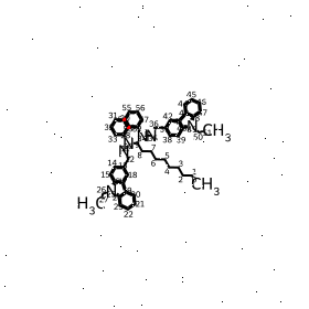 CCCCCCCCCC(N(/N=C/c1ccc2c(c1)c1ccccc1n2CC)c1ccccc1)N(/N=C/c1ccc2c(c1)c1ccccc1n2CC)c1ccccc1